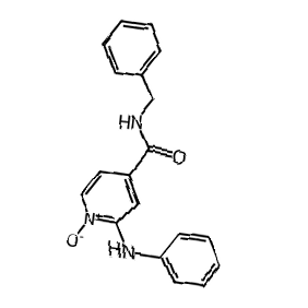 O=C(NCc1ccccc1)c1cc[n+]([O-])c(Nc2ccccc2)c1